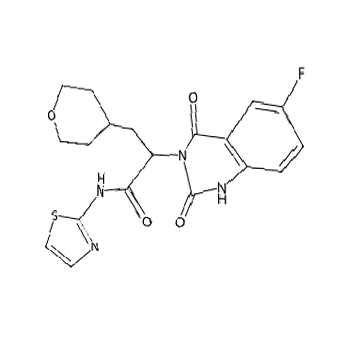 O=C(Nc1nccs1)C(CC1CCOCC1)n1c(=O)[nH]c2ccc(F)cc2c1=O